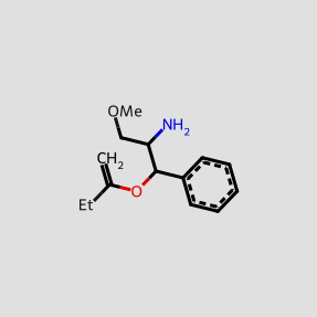 C=C(CC)OC(c1ccccc1)C(N)COC